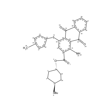 CCCC[C@H]1CC[C@H](OC(=O)c2cc(Sc3ccc(C)cc3)c3c(c2N)C(=O)c2ccccc2C3=O)CC1